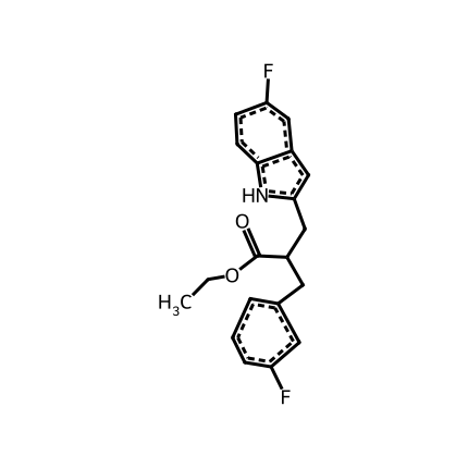 CCOC(=O)C(Cc1cccc(F)c1)Cc1cc2cc(F)ccc2[nH]1